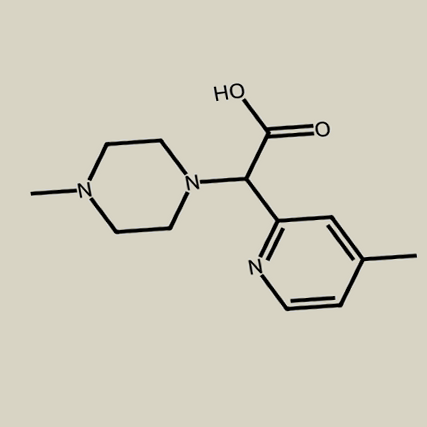 Cc1ccnc(C(C(=O)O)N2CCN(C)CC2)c1